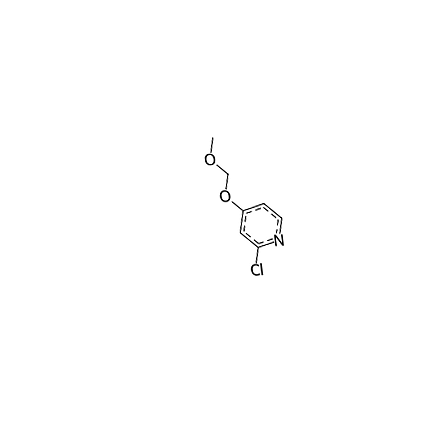 COCOc1ccnc(Cl)c1